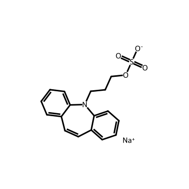 O=S(=O)([O-])OCCCN1c2ccccc2C=Cc2ccccc21.[Na+]